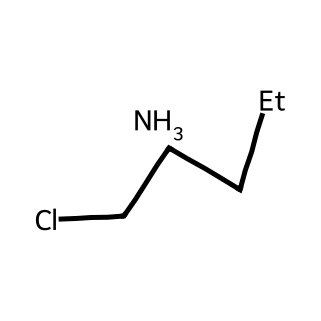 CCCCCCl.N